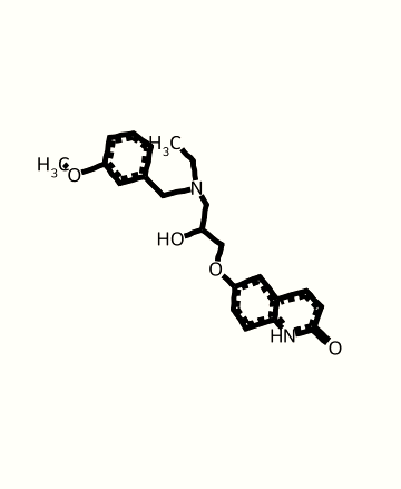 CCN(Cc1cccc(OC)c1)CC(O)COc1ccc2[nH]c(=O)ccc2c1